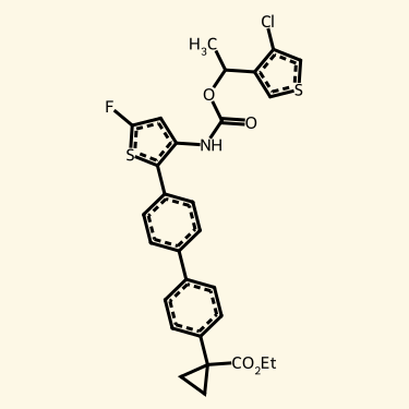 CCOC(=O)C1(c2ccc(-c3ccc(-c4sc(F)cc4NC(=O)OC(C)c4cscc4Cl)cc3)cc2)CC1